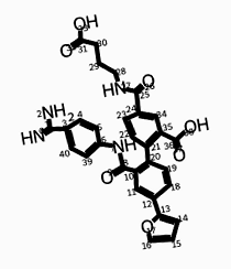 N=C(N)c1ccc(NC(=O)c2cc(-c3ccco3)ccc2-c2ccc(C(=O)NCCCC(=O)O)cc2C(=O)O)cc1